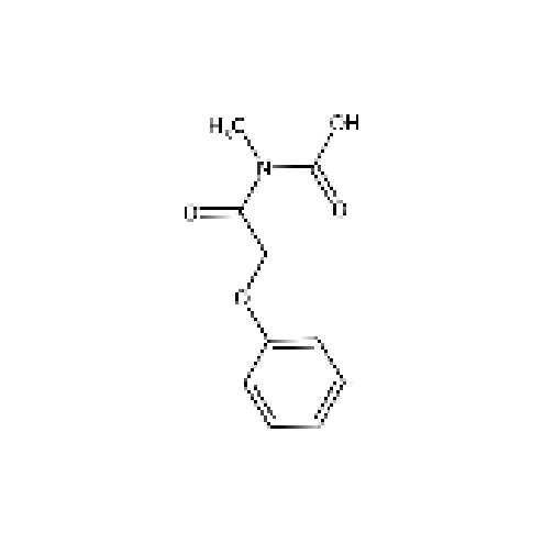 CN(C(=O)O)C(=O)COc1c[c]ccc1